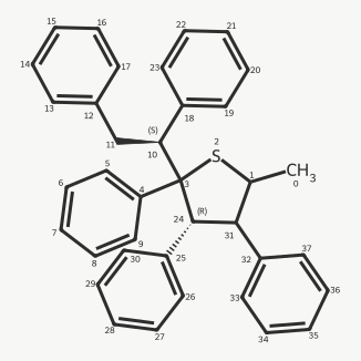 CC1SC(c2ccccc2)([C@@H](Cc2ccccc2)c2ccccc2)[C@@H](c2ccccc2)C1c1ccccc1